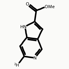 [2H]c1cc2[nH]c(C(=O)OC)cc2cn1